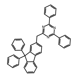 c1ccc(-c2nc(Cc3ccc4c(c3)C(c3ccccc3)(c3ccccc3)c3ccccc3-4)nc(-c3ccccc3)n2)cc1